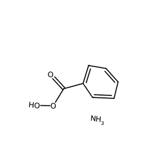 N.O=C(OO)c1ccccc1